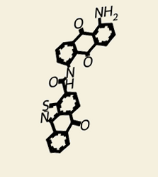 Nc1cccc2c1C(=O)c1cccc(NC(=O)c3ccc4c5c(nsc35)-c3ccccc3C4=O)c1C2=O